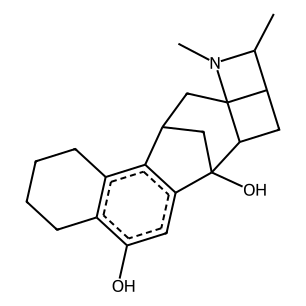 CC1C2CC3C4(O)CC(CC23N1C)c1c4cc(O)c2c1CCCC2